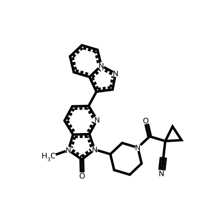 Cn1c(=O)n(C2CCCN(C(=O)C3(C#N)CC3)C2)c2nc(-c3cnn4ccccc34)ccc21